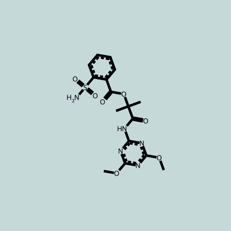 COc1nc(NC(=O)C(C)(C)OC(=O)c2ccccc2S(N)(=O)=O)nc(OC)n1